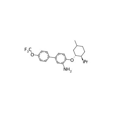 CC1CC[C@@H](C(C)C)[C@H](Oc2ccc(-c3ccc(OC(F)(F)F)cc3)cc2N)C1